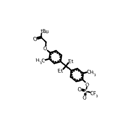 CCC(CC)(c1ccc(OCC(=O)C(C)(C)C)c(C)c1)c1ccc(OS(=O)(=O)C(F)(F)F)c(C)c1